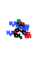 CCC(N)=O.N=C(NCC1(CCc2ccccc2)CCN(C(=O)O)CC1)NC(=O)c1nc(Cl)c(N)nc1N